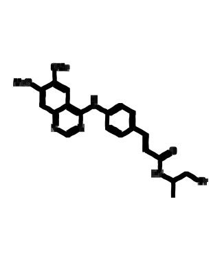 COc1cc2ncnc(Nc3ccc(C=CC(=O)NC(C)CC(C)C)cc3)c2cc1OC